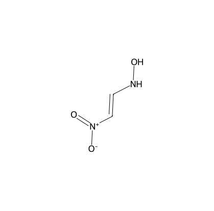 O=[N+]([O-])C=CNO